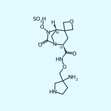 NC1(CONC(=O)[C@@H]2CC3(COC3)[C@@H]3CN2C(=O)N3OS(=O)(=O)O)CCNC1